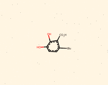 CC(C)(C)c1ccc(O)c(O)c1C(=O)O